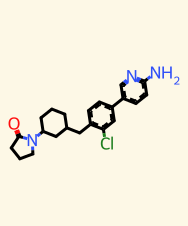 Nc1ccc(-c2ccc(CC3CCCC(N4CCCC4=O)C3)c(Cl)c2)cn1